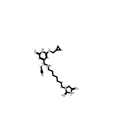 N#CC[C@@H](NCCCCCCCN1CC(=O)NC1=O)c1cc(OCC2CC2)[nH]c(=O)c1